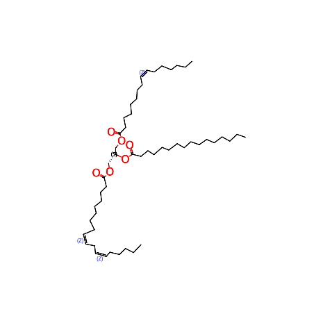 CCCCC/C=C\C/C=C\CCCCCCCC(=O)OC[C@H](COC(=O)CCCCCCC/C=C\CCCCCC)OC(=O)CCCCCCCCCCCCCCC